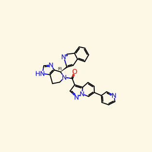 O=C(c1cnn2cc(-c3cccnc3)ccc12)N1CCc2[nH]cnc2[C@H]1c1cc2ccccc2cn1